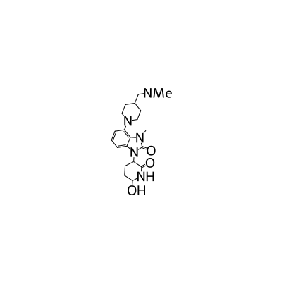 CNCC1CCN(c2cccc3c2n(C)c(=O)n3C2CCC(O)NC2=O)CC1